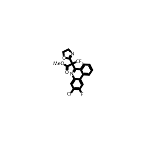 COC(=O)C(C1=NCCO1)(c1nc2cc(Cl)c(F)cc2c2ccccc12)C(F)(F)F